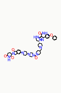 NC(=O)c1c(-c2ccc(Oc3ccccc3)cc2)nn2c1NCC[C@H]2C1CCN(CC2CCN(C(=O)N3CCN(C4CCN(c5ccc6c(c5)CN(C5CCC(=O)NC5=O)C6=O)CC4)CC3)CC2)CC1